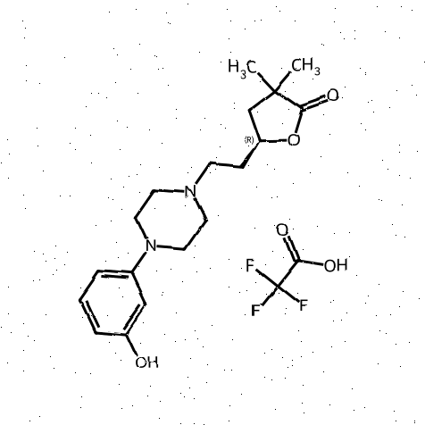 CC1(C)C[C@H](CCN2CCN(c3cccc(O)c3)CC2)OC1=O.O=C(O)C(F)(F)F